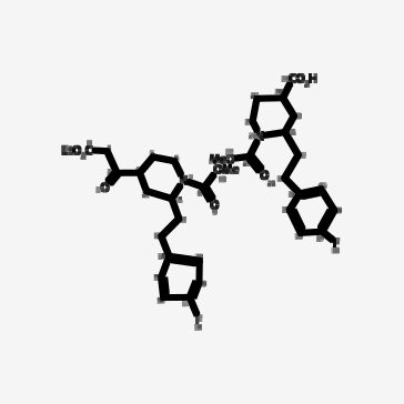 CCOC(=O)CC(=O)C1CCN(C(=O)OC)C(CCc2ccc(F)cc2)C1.COC(=O)N1CCC(C(=O)O)CC1CCc1ccc(F)cc1